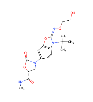 CNC(=O)[C@H]1CN(c2ccc3c(c2)o/c(=N/OCCO)n3C(C)(C)C)C(=O)O1